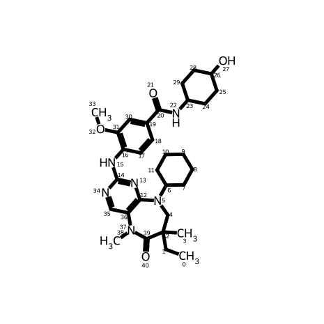 CCC1(C)CN(C2CCCCC2)c2nc(Nc3ccc(C(=O)NC4CCC(O)CC4)cc3OC)ncc2N(C)C1=O